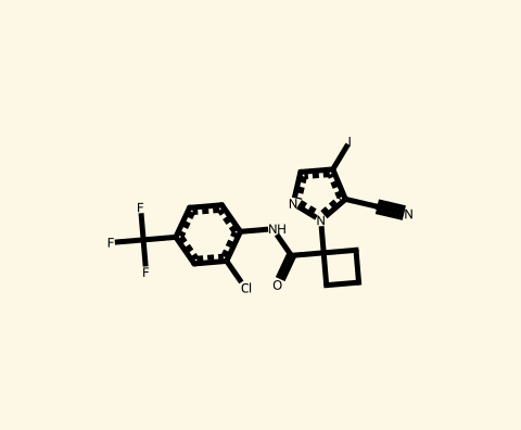 N#Cc1c(I)cnn1C1(C(=O)Nc2ccc(C(F)(F)F)cc2Cl)CCC1